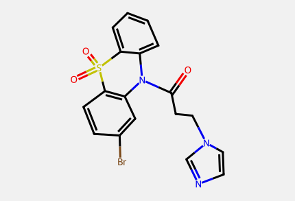 O=C(CCn1ccnc1)N1c2ccccc2S(=O)(=O)c2ccc(Br)cc21